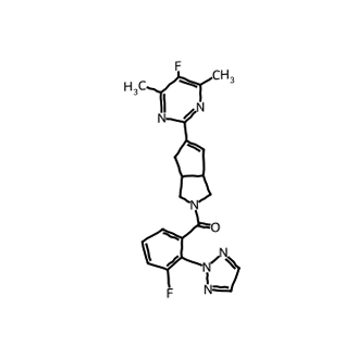 Cc1nc(C2=CC3CN(C(=O)c4cccc(F)c4-n4nccn4)CC3C2)nc(C)c1F